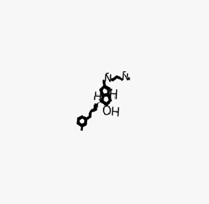 Cc1cccc(CC/C=C/[C@@H]2[C@H]3CC(CN(C)CCCN(C)C)=C[C@H]3C[C@H]2O)c1